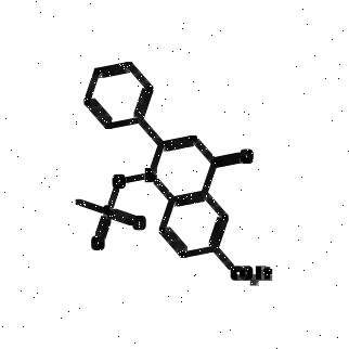 CCOC(=O)c1ccc2c(c1)c(=O)cc(-c1ccccc1)n2OS(C)(=O)=O